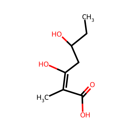 CCC(O)CC(O)=C(C)C(=O)O